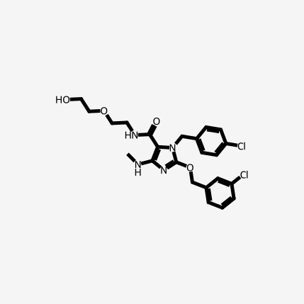 CNc1nc(OCc2cccc(Cl)c2)n(Cc2ccc(Cl)cc2)c1C(=O)NCCOCCO